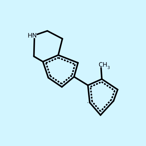 Cc1ccc[c]c1-c1ccc2c(c1)CCNC2